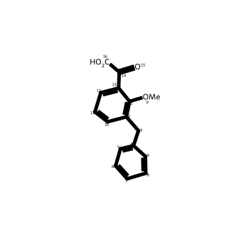 COc1c(Cc2ccccc2)cccc1C(=O)C(=O)O